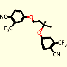 C[C@H](CCOc1ccc(C#N)c(C(F)(F)F)c1)Oc1ccc(C#N)c(C(F)(F)F)c1